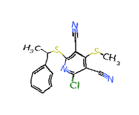 CSc1c(C#N)c(Cl)nc(SC(C)c2ccccc2)c1C#N